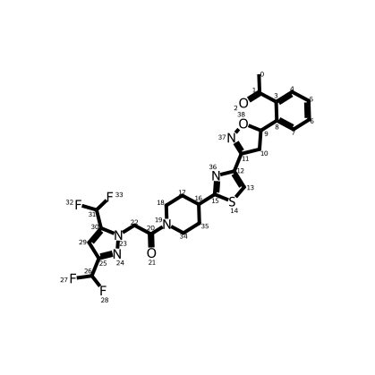 CC(=O)c1ccccc1C1CC(c2csc(C3CCN(C(=O)Cn4nc(C(F)F)cc4C(F)F)CC3)n2)=NO1